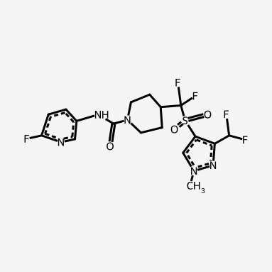 Cn1cc(S(=O)(=O)C(F)(F)C2CCN(C(=O)Nc3ccc(F)nc3)CC2)c(C(F)F)n1